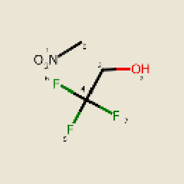 C[N+](=O)[O-].OCC(F)(F)F